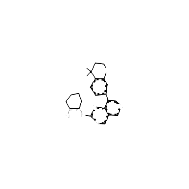 CC1(C)CCOc2cc(-c3cncc4cnc(N[C@@H]5CCCC[C@@H]5N)nc34)ccc21